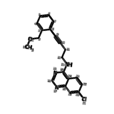 COCc1ccccc1C#CCCNc1ncnc2cc(Cl)ccc12